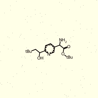 CC(C)(C)CC(O)c1ccc(C(N)C(=O)OC(C)(C)C)cn1